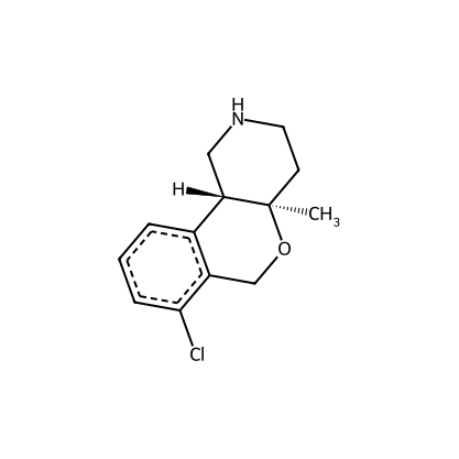 C[C@@]12CCNC[C@H]1c1cccc(Cl)c1CO2